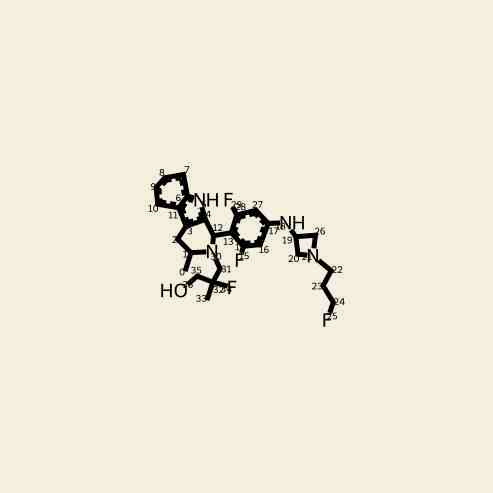 CC1Cc2c([nH]c3ccccc23)C(c2c(F)cc(NC3CN(CCCF)C3)cc2F)N1CC(C)(F)CO